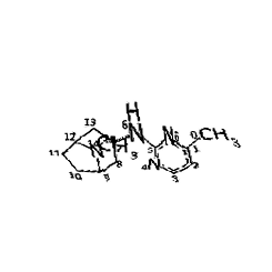 Cc1ccnc(NC2CC3CCC(C2)N3C)n1